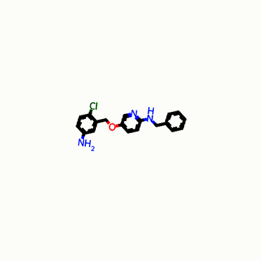 Nc1ccc(Cl)c(COc2ccc(NCc3ccccc3)nc2)c1